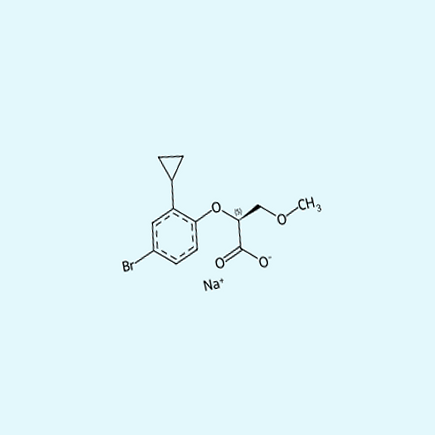 COC[C@H](Oc1ccc(Br)cc1C1CC1)C(=O)[O-].[Na+]